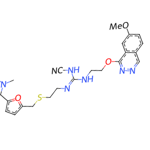 COc1ccc2cnnc(OCCNC(=NCCSCc3ccc(CN(C)C)o3)NC#N)c2c1